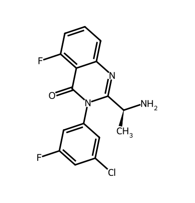 C[C@H](N)c1nc2cccc(F)c2c(=O)n1-c1cc(F)cc(Cl)c1